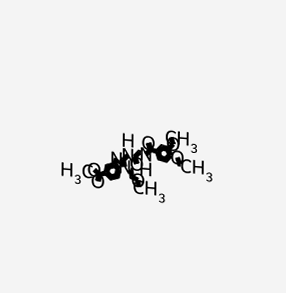 CCOc1ccc(C(=O)NCC(=O)Nc2nc3cc(C(=O)OC)ccc3n2CCOC)cc1OC